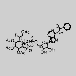 CC(=O)OC[C@H](F)C1O[C@@H](OP(=O)(O)OP(O)(=S)OC[C@H]2O[C@@H](n3cnc4c(NC(=O)c5ccccc5)ncnc43)C(O)C2O)C(OC(C)=O)C(OC(C)=O)[C@@H]1OC(C)=O